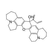 C=CC(=C)C1(O)c2cc3c4c(c2Oc2c1cc1c5c2CCCN5CCCC1)CCCN4CCCC3